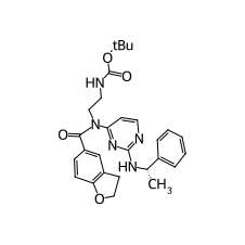 C[C@H](Nc1nccc(N(CCNC(=O)OC(C)(C)C)C(=O)c2ccc3c(c2)CCO3)n1)c1ccccc1